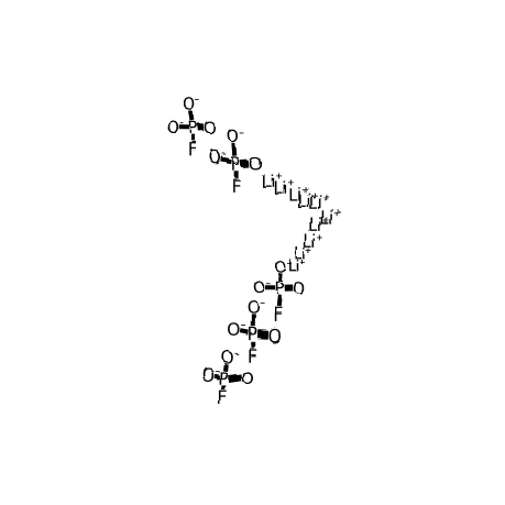 O=P([O-])([O-])F.O=P([O-])([O-])F.O=P([O-])([O-])F.O=P([O-])([O-])F.O=P([O-])([O-])F.[Li+].[Li+].[Li+].[Li+].[Li+].[Li+].[Li+].[Li+].[Li+].[Li+]